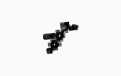 CCCC(=N)CCc1ccc(-c2ccc(Cl)cc2)c(C=O)c1